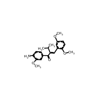 COc1ccc(OC)c(/C=C(/C(=O)c2ccc(N)c(OC)c2)C(C)C)c1